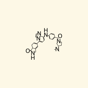 CN(C)C1CCN(C(=O)c2ccc(Nc3ccc(C4=CCC5C(=O)NCC5=C4)n4ccnc34)cc2)C1